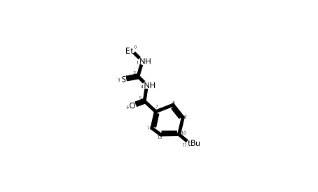 CCNC(=S)NC(=O)c1ccc(C(C)(C)C)cc1